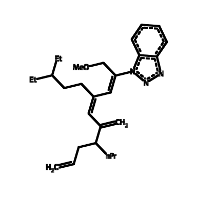 C=CCC(CCC)C(=C)/C=C(\C=C(/COC)n1nnc2ccccc21)CCC(CC)CC